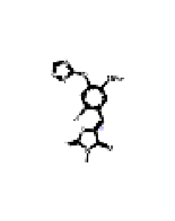 COc1cc(/C=C2\SC(=O)N(C)C2=O)c(Br)cc1Oc1nncs1